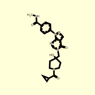 CNC(=O)c1ccc(-n2ncc3c(=O)n(CC4(O)CCN(C(=O)C5CC5)CC4)cnc32)cc1